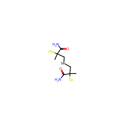 CC(S)(C[Se]CC(C)(S)C(N)=O)C(N)=O